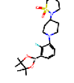 CC1(C)OB(c2cccc(N3CCC(N4CCCCS4(=O)=O)CC3)c2F)OC1(C)C